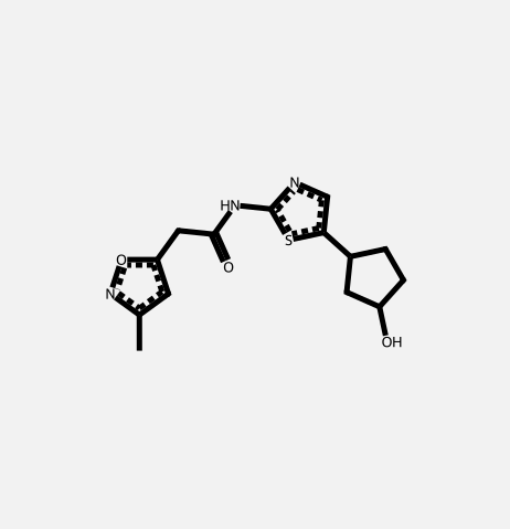 Cc1cc(CC(=O)Nc2ncc(C3CCC(O)C3)s2)on1